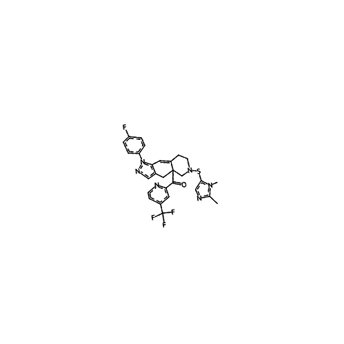 Cc1ncc(SN2CCC3=Cc4c(cnn4-c4ccc(F)cc4)CC3(C(=O)c3cc(C(F)(F)F)ccn3)C2)n1C